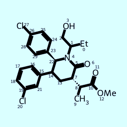 CCC(CO)N1C(=O)[C@H](C(C)C(=O)OC)CC(c2cccc(Cl)c2)[C@H]1c1ccc(Cl)cc1